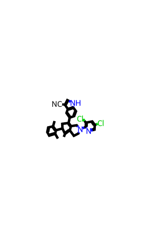 CC1=C2CCN(c3ncc(Cl)cc3Cl)CC2=C(c2ccc3[nH]cc(C#N)c3c2)CC1c1c(C)cccc1C